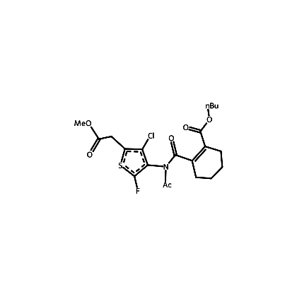 CCCCOC(=O)C1=C(C(=O)N(C(C)=O)c2c(F)sc(CC(=O)OC)c2Cl)CCCC1